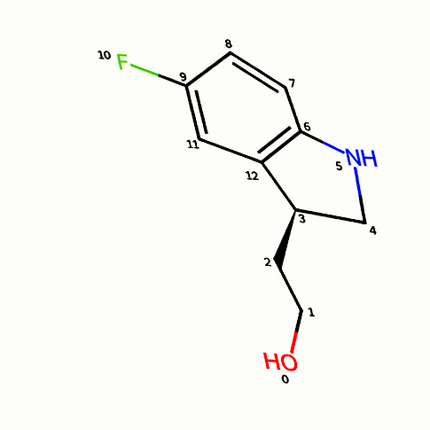 OCC[C@@H]1CNc2ccc(F)cc21